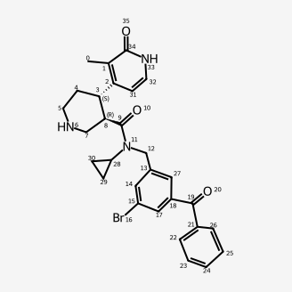 Cc1c([C@H]2CCNC[C@@H]2C(=O)N(Cc2cc(Br)cc(C(=O)c3ccccc3)c2)C2CC2)cc[nH]c1=O